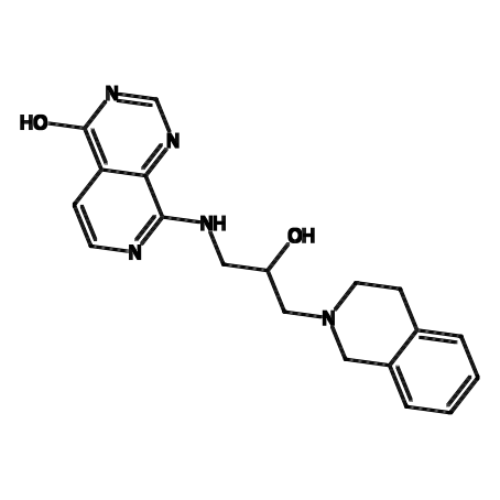 Oc1ncnc2c(NCC(O)CN3CCc4ccccc4C3)nccc12